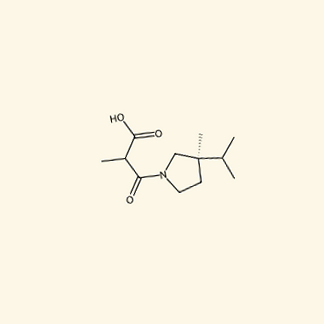 CC(C(=O)O)C(=O)N1CC[C@](C)(C(C)C)C1